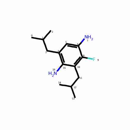 CC(C)Cc1cc(N)c(F)c(CC(C)C)c1N